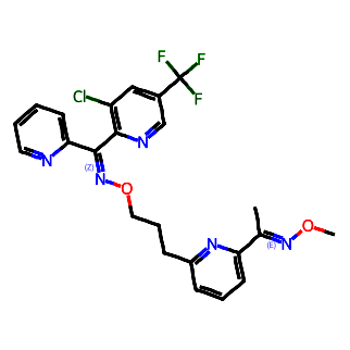 CO/N=C(\C)c1cccc(CCCO/N=C(/c2ccccn2)c2ncc(C(F)(F)F)cc2Cl)n1